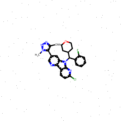 COc1nnn(C)c1-c1cnc2c3ccc(Cl)nc3n(C(c3ccccc3F)C3CCOCC3)c2c1